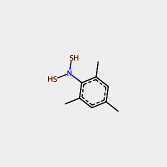 Cc1cc(C)c(N(S)S)c(C)c1